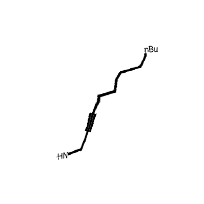 CCCCCCCCC#CC[NH]